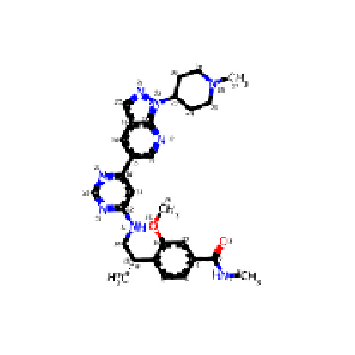 CNC(=O)c1ccc([C@H](C)CNc2cc(-c3cnc4c(cnn4C4CCN(C)CC4)c3)ncn2)c(OC)c1